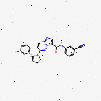 N#Cc1cccc(NC(=O)c2cnc3ccc(N4CCC[C@@H]4c4cccc(F)c4)nn23)c1